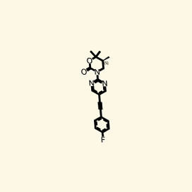 C[C@H]1CN(c2ncc(C#Cc3ccc(F)cc3)cn2)C(=O)OC1(C)C